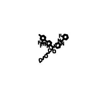 COCCOCCOC(=O)C(c1ccc(-c2ccc(C)cc2C(F)(F)F)nn1)n1ccc2nc(-c3ccccc3F)nc-2c1